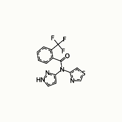 O=C(c1ccccc1C(F)(F)F)N(c1cscn1)c1cc[nH]n1